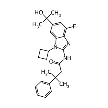 CC(C)(O)c1cc(F)c2nc(NC(=O)CC(C)(C)c3ccccc3)n(C3CCC3)c2c1